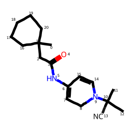 CC1(CC(=O)NC2=CCN(C(C)(C)C#N)C=C2)CCCCC1